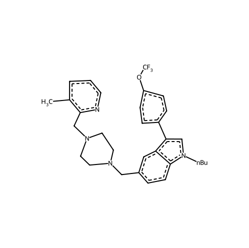 CCCCn1cc(-c2ccc(OC(F)(F)F)cc2)c2cc(CN3CCN(Cc4ncccc4C)CC3)ccc21